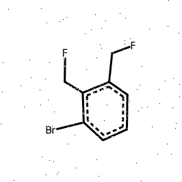 FCc1cccc(Br)c1CF